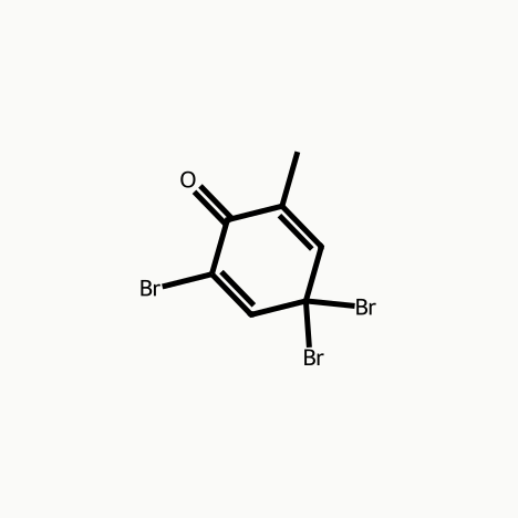 CC1=CC(Br)(Br)C=C(Br)C1=O